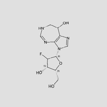 OC[C@H]1O[C@@H](n2cnc3c2N=CNCC3O)C(F)[C@H]1O